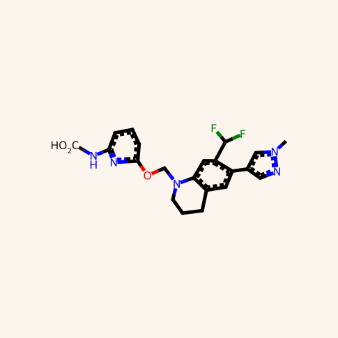 Cn1cc(-c2cc3c(cc2C(F)F)N(COc2cccc(NC(=O)O)n2)CCC3)cn1